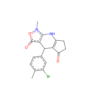 Cc1ccc(C2C3=C(CCC3=O)Nc3c2c(=O)on3C)cc1Br